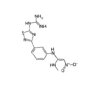 CN/C(=C\[N+](=O)[O-])Nc1cccc(-c2nsc(NC(=N)N)n2)c1